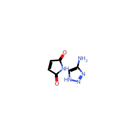 Nc1c[nH]nn1.O=C1C=CC(=O)N1